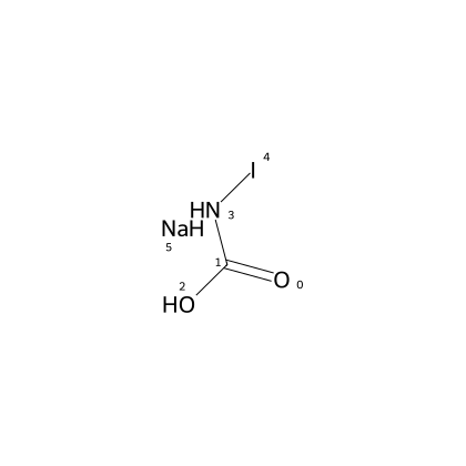 O=C(O)NI.[NaH]